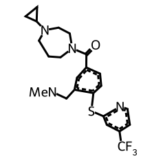 CNCc1cc(C(=O)N2CCCN(C3CC3)CC2)ccc1Sc1cc(C(F)(F)F)ccn1